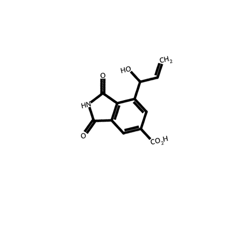 C=CC(O)c1cc(C(=O)O)cc2c1C(=O)NC2=O